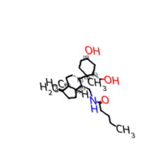 C=C1CC[C@H]2[C@H](CNC(=O)CCCC)[C@@H]([C@]3(C)CC[C@H](O)C[C@@H]3CO)CC[C@]12C